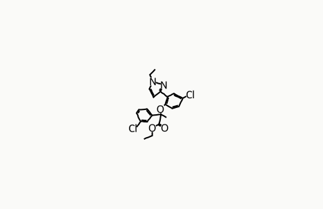 CCOC(=O)C(C)(Oc1ccc(Cl)cc1-c1ccn(CC)n1)c1cccc(Cl)c1